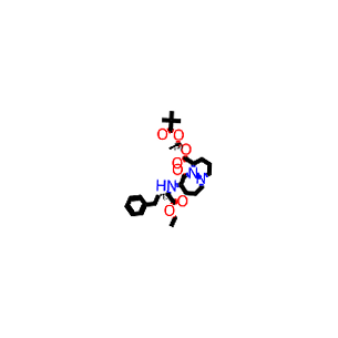 CCOC(=O)[C@H](CCc1ccccc1)NC1CCCN2CCCC(C(=O)O[C@@H](C)OC(=O)C(C)(C)C)N2C1=O